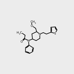 CCC(=O)N(c1ccccc1)C1CCN(CCc2cccs2)C(COC)C1